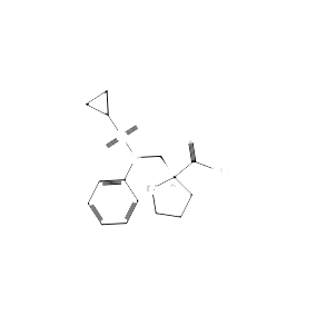 O=C(O)[C@]1(CN(c2ccccc2)S(=O)(=O)C2CC2)CCCN1